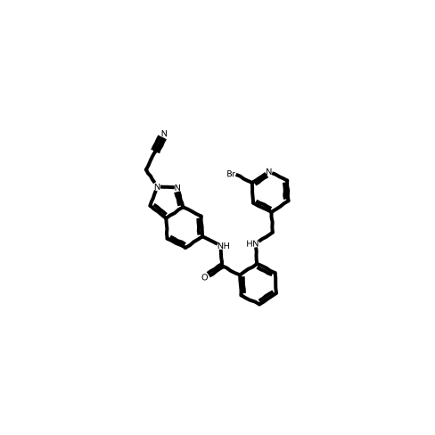 N#CCn1cc2ccc(NC(=O)c3ccccc3NCc3ccnc(Br)c3)cc2n1